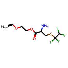 C=COCCOC(=O)C(N)CSC(F)(F)C(F)F